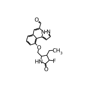 CCC1C(COc2cccc3cc(C=O)n4nccc4c23)NC(=O)C1F